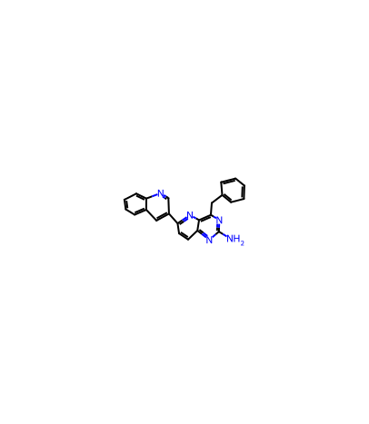 Nc1nc(Cc2ccccc2)c2nc(-c3cnc4ccccc4c3)ccc2n1